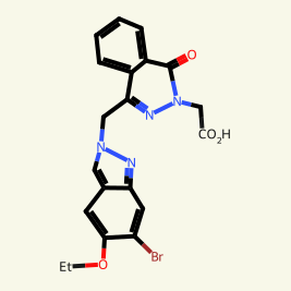 CCOc1cc2cn(Cc3nn(CC(=O)O)c(=O)c4ccccc34)nc2cc1Br